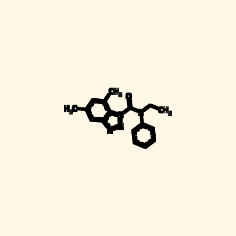 CCN(C(=O)n1nnc2cc(C)cc(C)c21)c1ccccc1